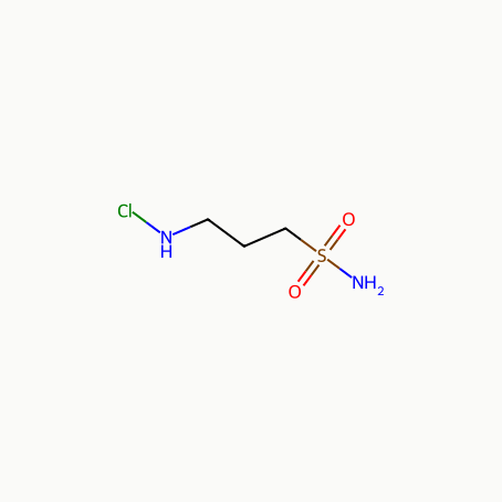 NS(=O)(=O)CCCNCl